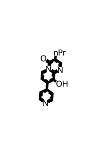 CCCc1cnc2c(O)c(-c3ccncc3)ccn2c1=O